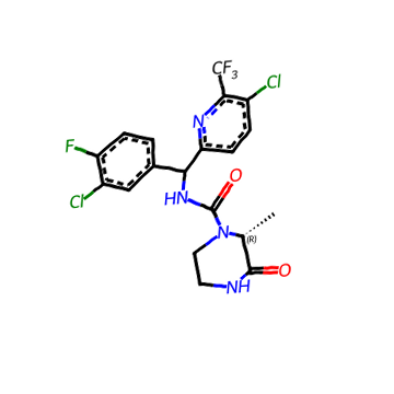 C[C@@H]1C(=O)NCCN1C(=O)NC(c1ccc(F)c(Cl)c1)c1ccc(Cl)c(C(F)(F)F)n1